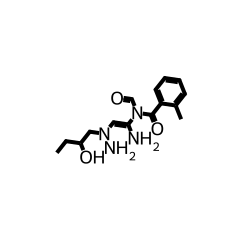 CCC(O)CN(N)/C=C(\N)N(C=O)C(=O)c1ccccc1C